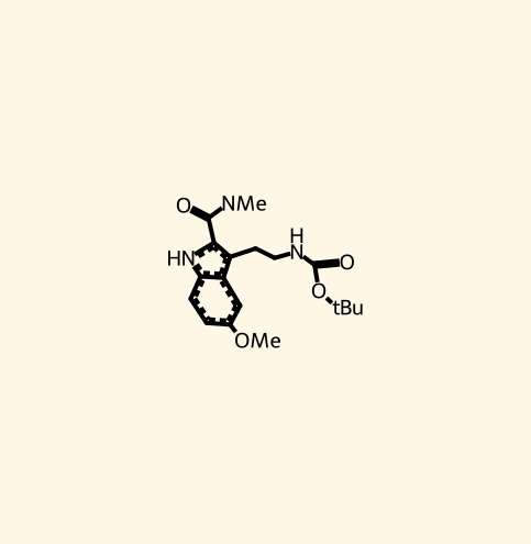 CNC(=O)c1[nH]c2ccc(OC)cc2c1CCNC(=O)OC(C)(C)C